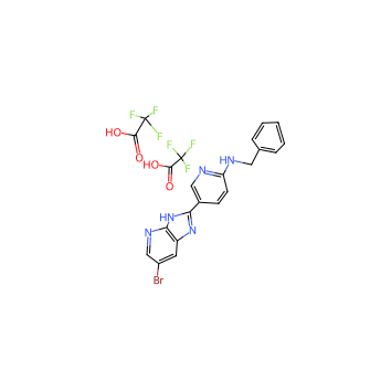 Brc1cnc2[nH]c(-c3ccc(NCc4ccccc4)nc3)nc2c1.O=C(O)C(F)(F)F.O=C(O)C(F)(F)F